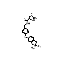 CC1(C)Cc2ccc(Nc3ccc(CNC(=O)C4CNC(=O)N4)cc3)cc2C1